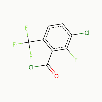 O=C(Cl)c1c(C(F)(F)F)ccc(Cl)c1F